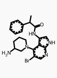 CC(C(=O)Nc1c[nH]c2ncc(Br)c(N3CCCC(N)C3)c12)c1ccccc1